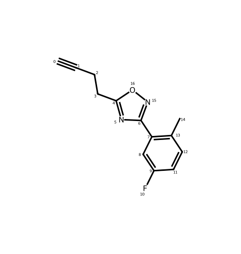 C#CCCc1nc(-c2cc(F)ccc2C)no1